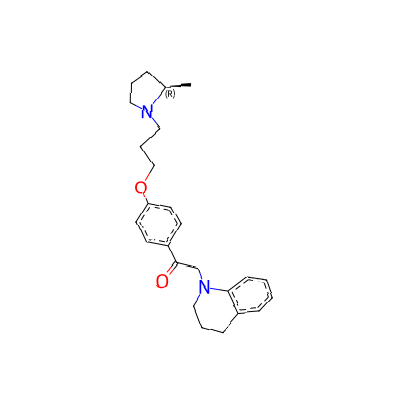 C[C@@H]1CCCN1CCCOc1ccc(C(=O)CN2CCCc3ccccc32)cc1